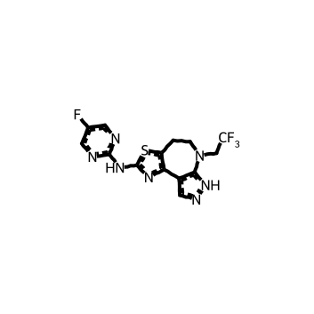 Fc1cnc(Nc2nc3c(s2)CCN(CC(F)(F)F)c2[nH]ncc2-3)nc1